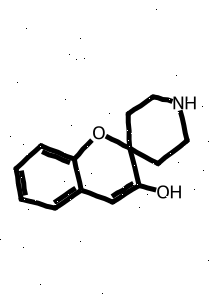 OC1=Cc2ccccc2OC12CCNCC2